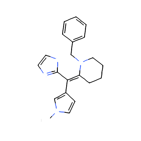 Cn1ccc(/C(=C2\CCCCN2Cc2ccccc2)c2ncc[nH]2)c1